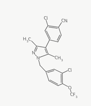 Cc1nn(Cc2ccc(OC(F)(F)F)c(Cl)c2)c(C)c1-c1ccc(C#N)c(Cl)c1